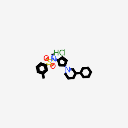 Cc1cccc(S(=O)(=O)N(C)C2C=CC(N3CCCC(C4CCCCC4)C3)C2)c1.Cl